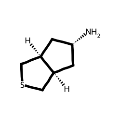 N[C@@H]1C[C@H]2CSC[C@H]2C1